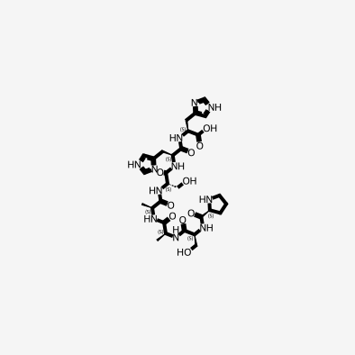 C[C@H](NC(=O)[C@H](C)NC(=O)[C@H](CO)NC(=O)[C@@H]1CCCN1)C(=O)N[C@@H](CO)C(=O)N[C@@H](Cc1c[nH]cn1)C(=O)N[C@@H](Cc1c[nH]cn1)C(=O)O